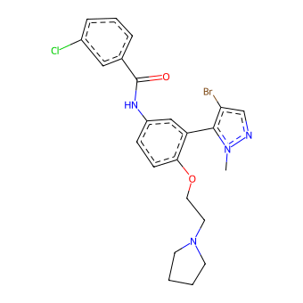 Cn1ncc(Br)c1-c1cc(NC(=O)c2cccc(Cl)c2)ccc1OCCN1CCCC1